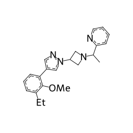 CCc1cccc(-c2cnn(C3CN(C(C)c4ccccn4)C3)c2)c1OC